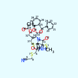 CS[C@@]1(NC(=O)CSCC#N)C(=O)N2C(C(=O)OC(c3ccccc3)c3ccccc3)=C(COC(C)=O)CS[C@@H]21